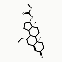 CC[C@H]1CC2=CC(=O)CC[C@]2(C)C2CC[C@@]3(C)C(CC[C@@H]3OC(=O)OC)C21